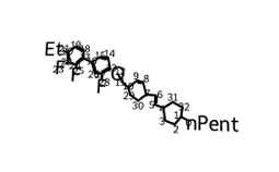 CCCCCC1CCC(/C=C/C2C=CC(COc3ccc(-c4ccc(CC)c(F)c4F)cc3F)CC2)CC1